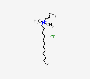 C=CC[N+](C)(C)CCCCCCCCCCCC(C)C.[Cl-]